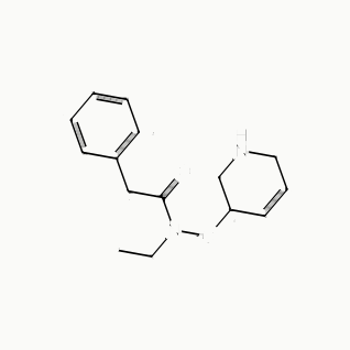 CCN(OC1C=CCNC1)C(=O)Cc1ccccc1